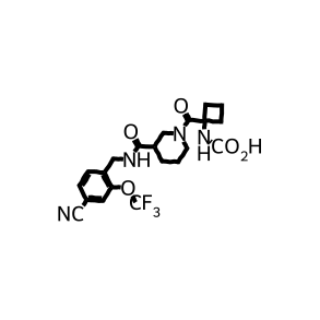 N#Cc1ccc(CNC(=O)C2CCCN(C(=O)C3(NC(=O)O)CCC3)C2)c(OC(F)(F)F)c1